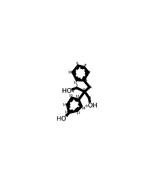 OCC(CO)(Cc1ccccc1)c1ccc(O)cc1